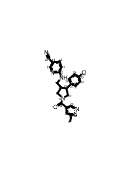 Cc1cc(C(=O)N2CC(CNc3ccc(C#N)cn3)C(c3ccc(Cl)cc3)C2)cnn1